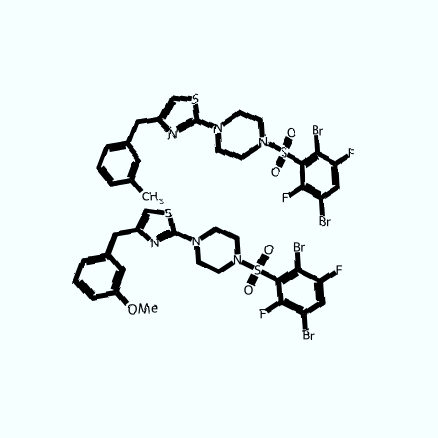 COc1cccc(Cc2csc(N3CCN(S(=O)(=O)c4c(F)c(Br)cc(F)c4Br)CC3)n2)c1.Cc1cccc(Cc2csc(N3CCN(S(=O)(=O)c4c(F)c(Br)cc(F)c4Br)CC3)n2)c1